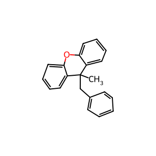 CC1(Cc2ccccc2)c2ccccc2Oc2ccccc21